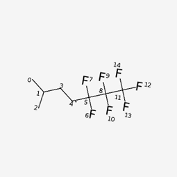 CC(C)C[CH]C(F)(F)C(F)(F)C(F)(F)F